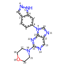 c1cc2cn[nH]c2cc1-n1cnc2cnc(N3CCOCC3)nc21